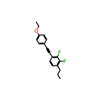 CCCc1ccc(C#Cc2ccc(OCC)cc2)c(F)c1F